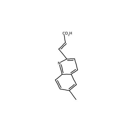 Cc1ccc2nc(C=CC(=O)O)ccc2c1